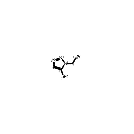 CC(C)Cn1nncc1C(C)C